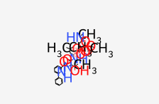 CNC(=O)C[C@@]1(CC(=O)OC)OB([C@H](CC(C)C)NC(=O)C(NC(=O)c2cccc(-c3ccccc3)n2)[C@@H](C)O)OC1=O